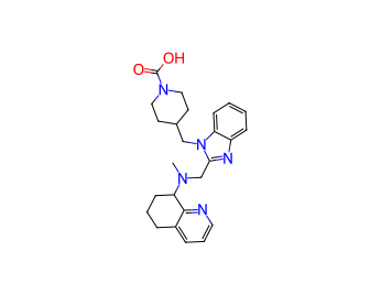 CN(Cc1nc2ccccc2n1CC1CCN(C(=O)O)CC1)C1CCCc2cccnc21